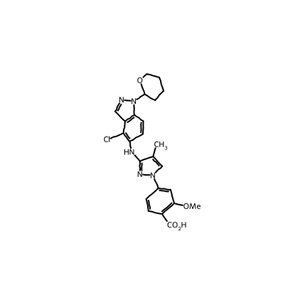 COc1cc(-n2cc(C)c(Nc3ccc4c(cnn4C4CCCCO4)c3Cl)n2)ccc1C(=O)O